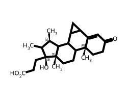 CC1[C@@H](C)C2C3C4CC4C4=CC(=O)CC[C@]4(C)C3CC[C@]2(C)[C@]1(O)CCC(=O)O